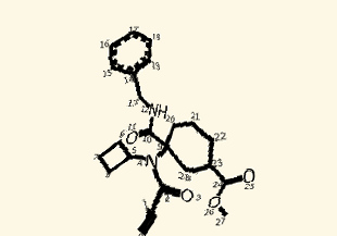 C#CC(=O)N(C1CCC1)C1(C(=O)NCc2ccccc2)CCCC(C(=O)OC)C1